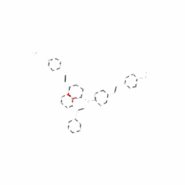 COc1ccc(/C=C/c2ccc(N(C=C(c3ccccc3)c3ccccc3)c3ccc(/C=C/c4ccc(CO)cc4)cc3)cc2)cc1